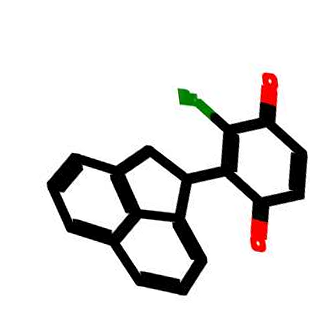 O=C1C=CC(=O)C(C2Cc3cccc4cccc2c34)=C1Br